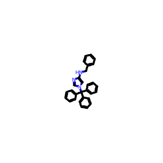 c1ccc(CNc2cn(C(c3ccccc3)(c3ccccc3)c3ccccc3)cn2)cc1